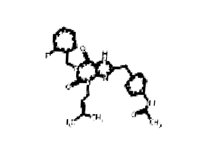 CC(=O)Nc1ccc(Cc2nc3c([nH]2)c(=O)n(Cc2ccccc2F)c(=O)n3CC=C(C)C)cc1